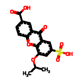 CC(C)Oc1cc(S(=O)(=O)O)cc2c(=O)c3cc(C(=O)O)ccc3oc12